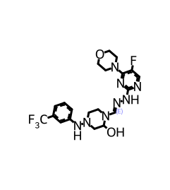 OC1CN(Nc2cccc(C(F)(F)F)c2)CCN1/C=N/Nc1ncc(F)c(N2CCOCC2)n1